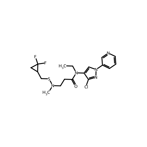 CCN(C(=O)CCN(C)SCC1CC1(F)F)c1cn(-c2cccnc2)nc1Cl